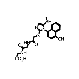 CBc1cnc(SCC(=O)NCC(=O)NCC(=O)O)n1-c1ccc(C#N)c2ccccc12